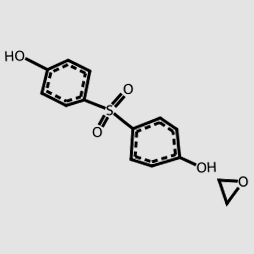 C1CO1.O=S(=O)(c1ccc(O)cc1)c1ccc(O)cc1